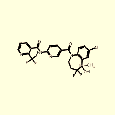 C[C@@]1(O)c2cc(Cl)ccc2N(C(=O)c2ccc(NC(=O)c3cccnc3C(F)(F)F)nc2)CCC1(F)F